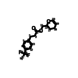 O=C(CCc1ccc(C(F)(F)F)cc1)OCC1CCC=CO1